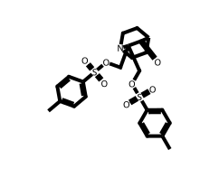 Cc1ccc(S(=O)(=O)OCC2(COS(=O)(=O)c3ccc(C)cc3)C(=O)C3CCN2CC3)cc1